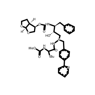 COC(=O)NC(C(=O)NN(Cc1ccc(-c2ccccn2)cc1)C[C@H](O)[C@H](Cc1ccccc1)NC(=O)O[C@H]1CO[C@H]2OCC[C@H]21)C(C)(C)C